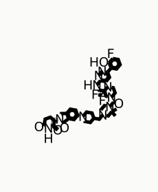 CC1(C)CN(CC2CCN(c3ccc4c(c3)C(=O)N([C@H]3CCC(=O)NC3=O)C4)CC2)CCN1C(=O)N1CCN2c3cc(-c4cccc(F)c4O)nnc3NC[C@@]2(C(F)F)C1